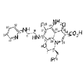 CC(C)C[C@H]1COc2c(NCCNc3ccccn3)c(F)c(N)c3c(=O)c(C(=O)O)cn1c23